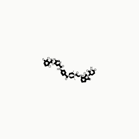 CC(Oc1cc(C(=O)Nc2ccc(C(=O)N3C[C@@H](C)N(C(=O)CNc4cccc5c4C(=O)N(C4CCC(=O)NC4=O)C5=O)[C@@H](C)C3)cc2)nnc1N)c1c(Cl)ccc(F)c1Cl